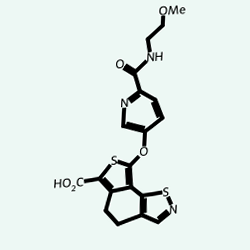 COCCNC(=O)c1ccc(Oc2sc(C(=O)O)c3c2-c2sncc2CC3)cn1